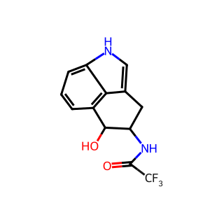 O=C(NC1Cc2c[nH]c3cccc(c23)C1O)C(F)(F)F